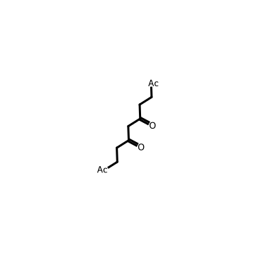 CC(=O)CCC(=O)CC(=O)CCC(C)=O